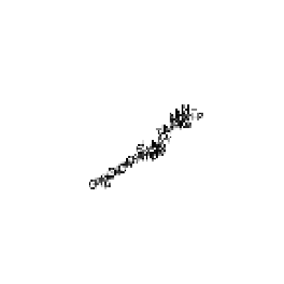 Nc1nc2ncc(CNc3ccc(C(=O)NC(CCC(=O)NCCOCCOCCOCCN(I)CC=O)C(=O)O)cc3)nc2c(=O)[nH]1